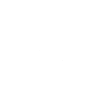 FC(F)(F)C(F)(OC(F)(Cl)C(F)(Cl)Cl)C(F)(Cl)Cl